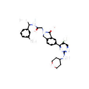 CC(NC(=O)CN1Cc2ccc(-c3nc(NC4CCOCC4)ncc3Cl)cc2C1=O)c1cccc(C(C)(C)C)c1